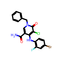 NC(=O)c1cn(Cc2ccccc2)c(=O)c(Cl)c1Nc1ccc(Br)cc1F